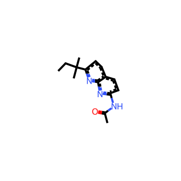 CCC(C)(C)c1ccc2ccc(NC(C)=O)nc2n1